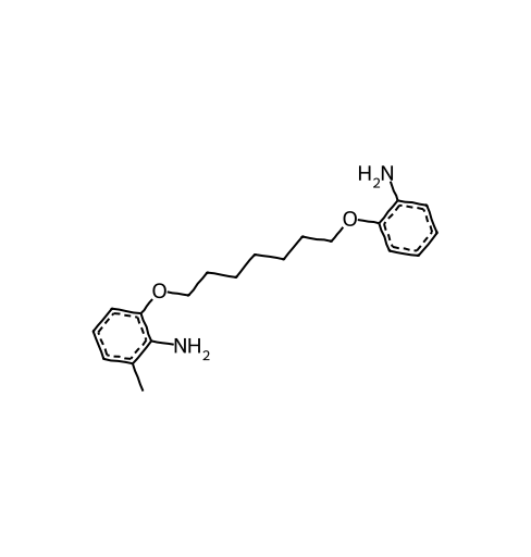 Cc1cccc(OCCCCCCCOc2ccccc2N)c1N